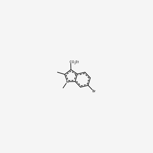 CCOC(=O)c1c(C)n(C)c2cc(Br)ccc12